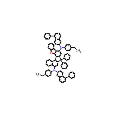 CCc1ccc(N(c2ccc3c(-c4ccccc4)cccc3c2)c2cc3c(c4ccccc24)-c2c(cc(N(c4ccc(CC)cc4)c4ccc5c(-c6ccccc6)cccc5c4)c4c2oc2ccccc24)C3(c2ccccc2)c2ccccc2)cc1